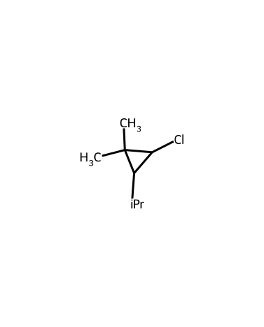 CC(C)C1C(Cl)C1(C)C